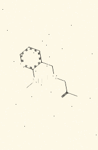 CNc1ncccc1CNCC(C)=O